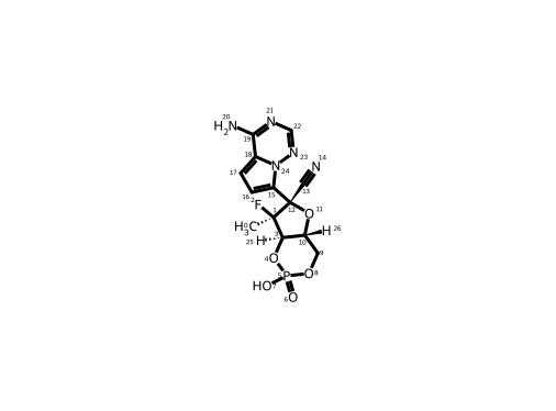 C[C@@]1(F)[C@@H]2OP(=O)(O)OC[C@H]2O[C@@]1(C#N)c1ccc2c(N)ncnn12